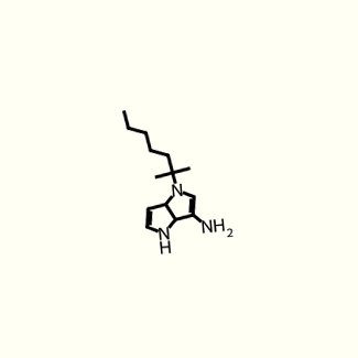 CCCCCC(C)(C)N1C=C(N)C2NC=CC21